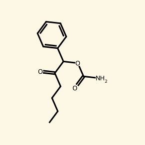 CCCCC(=O)C(OC(N)=O)c1ccccc1